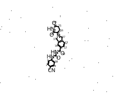 N#Cc1ccc(NC(=O)NC(=O)c2ccc3c(c2)CN(C2CCC(=O)NC2=O)C3)cc1